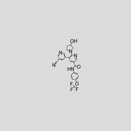 N#Cc1cncc(-c2cc(C(=O)Nc3ccc(OC(F)(F)F)cc3)cnc2N2CCC(O)C2)c1